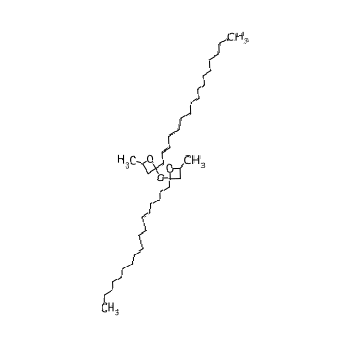 CCCCCCCCCCCCCCCCCC1(OC2(CCCCCCCCCCCCCCCCC)CC(C)O2)CC(C)O1